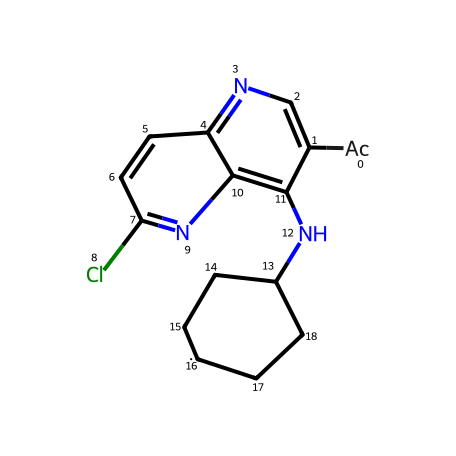 CC(=O)c1cnc2ccc(Cl)nc2c1NC1CC[CH]CC1